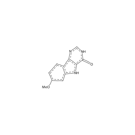 COc1ccc2c(c1)[nH]c1c(=O)[nH]cnc12